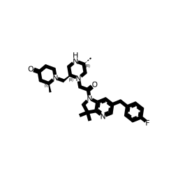 C[C@@H]1CN(CC(=O)N2CC(C)(C)c3ncc(Cc4ccc(F)cc4)cc32)[C@@H](CN2CCC(=O)C[C@@H]2C)CN1